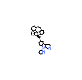 C1=Cc2ccccc2C2(c3ccccc31)c1ccccc1-c1cc(-c3ccc4c(c3)c3ccncc3n4-c3ccccn3)ccc12